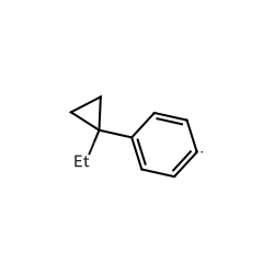 CCC1(c2cc[c]cc2)CC1